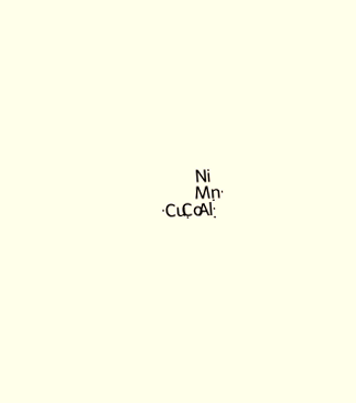 [Al].[Co].[Cu].[Mn].[Ni]